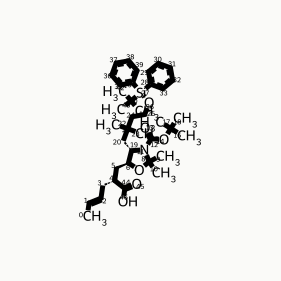 CC=CC[C@H](C[C@@H]1OC(C)(C)N(C(=O)OC(C)(C)C)[C@H]1CC(C)(C)CCO[Si](c1ccccc1)(c1ccccc1)C(C)(C)C)C(=O)O